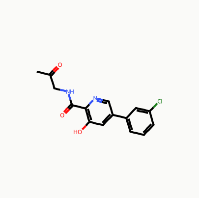 CC(=O)CNC(=O)c1ncc(-c2cccc(Cl)c2)cc1O